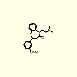 COc1cccc([C@@H]2CC(=O)N(CCN(C)C)c3ccccc3S2)c1